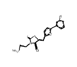 O=C(O)CCN1C(=O)C(=Cc2ccc(-c3cccc(Cl)c3)o2)SC1=S